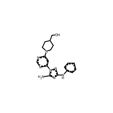 Nc1nc(Nc2ccccc2)nn1-c1cc(N2CCC(CO)CC2)ncn1